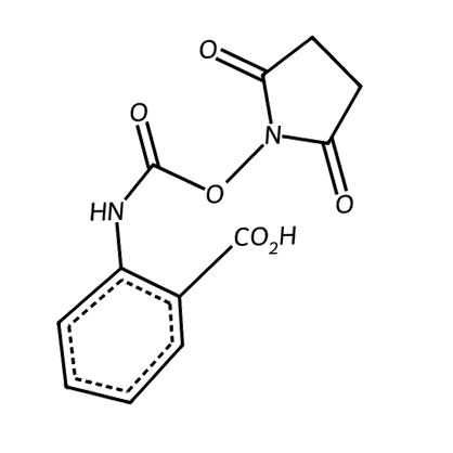 O=C(Nc1ccccc1C(=O)O)ON1C(=O)CCC1=O